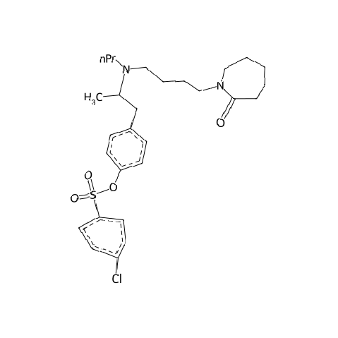 CCCN(CCCCN1CCCCCC1=O)C(C)Cc1ccc(OS(=O)(=O)c2ccc(Cl)cc2)cc1